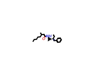 CCCCCC(C)CC(=O)N[C@@H]1C[C@H]1/C(=C/c1ccccc1)CC